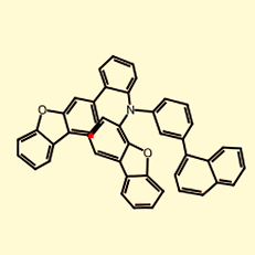 c1cc(-c2cccc3ccccc23)cc(N(c2ccccc2-c2ccc3c(c2)oc2ccccc23)c2cccc3c2oc2ccccc23)c1